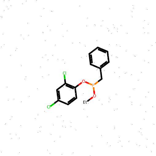 CCOP(Cc1ccccc1)Oc1ccc(Cl)cc1Cl